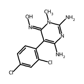 Cn1c(N)nc(N)c(-c2ccc(Cl)cc2Cl)c1=NO